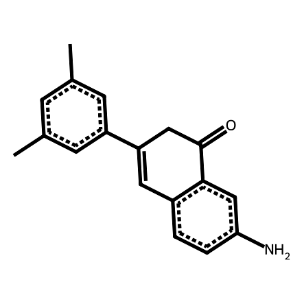 Cc1cc(C)cc(C2=Cc3ccc(N)cc3C(=O)C2)c1